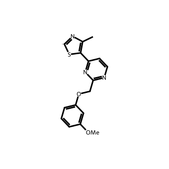 COc1cccc(OCc2nccc(-c3s[c]nc3C)n2)c1